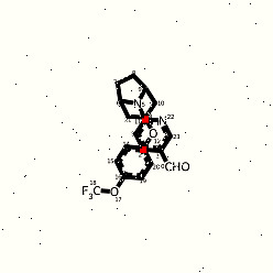 O=Cc1ccc(N2C3CCC2CC(Oc2ccc(OC(F)(F)F)cc2)C3)nc1